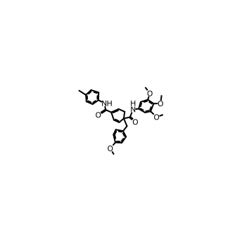 COc1ccc(CC2(C(=O)Nc3cc(OC)c(OC)c(OC)c3)C=CC(C(=O)Nc3ccc(C)cc3)=CC2)cc1